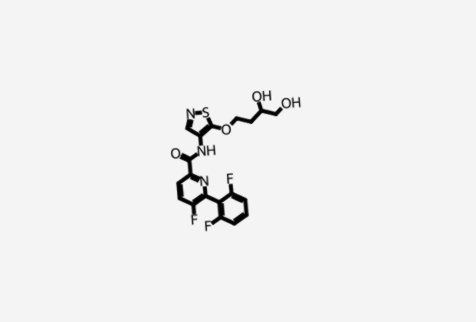 O=C(Nc1cnsc1OCCC(O)CO)c1ccc(F)c(-c2c(F)cccc2F)n1